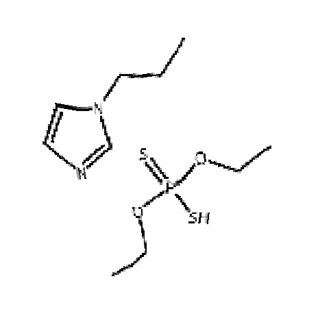 CCCn1ccnc1.CCOP(=S)(S)OCC